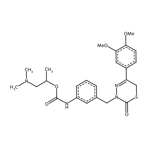 COc1ccc(C2=NN(Cc3cccc(NC(=O)OC(C)CN(C)C)c3)C(=O)SC2)cc1OC